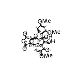 COc1cc(OC)c2c(c1)OC13c4oc(c5c4C(=O)OC5=O)C1[C@@H](C(=O)N(C)OC)[C@@H](O)[C@@]23O